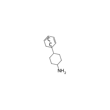 NC1CCC(C23C=CC(=CC2)CC3)CC1